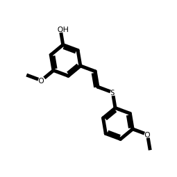 COc1cc(O)cc(/C=C/Sc2cccc(OC)c2)c1